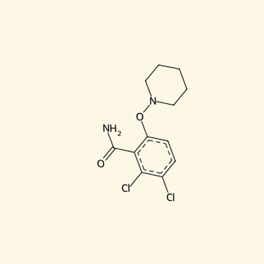 NC(=O)c1c(ON2CCCCC2)ccc(Cl)c1Cl